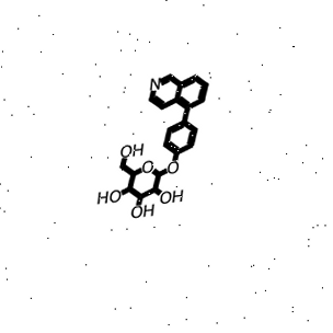 OCC1OC(Oc2ccc(-c3cccc4cnccc34)cc2)C(O)C(O)C1O